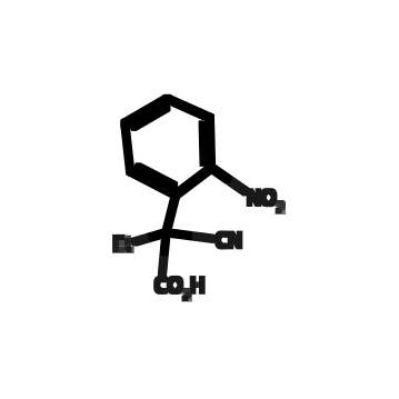 CCC(C#N)(C(=O)O)c1ccccc1[N+](=O)[O-]